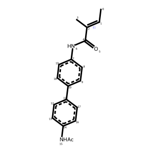 C/C=C(\C)C(=O)Nc1ccc(-c2ccc(NC(C)=O)cc2)cc1